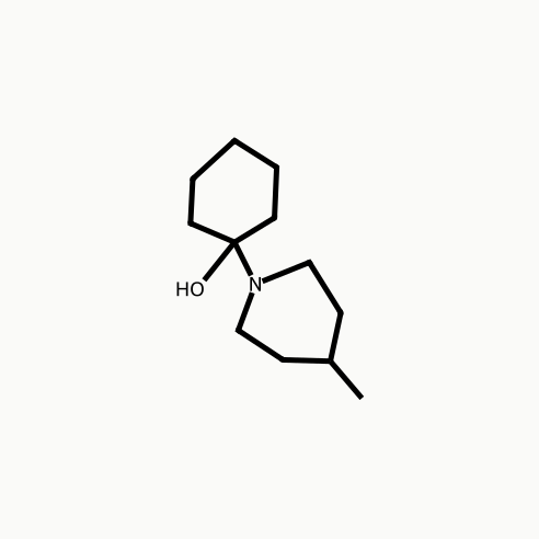 CC1CCN(C2(O)CCCCC2)CC1